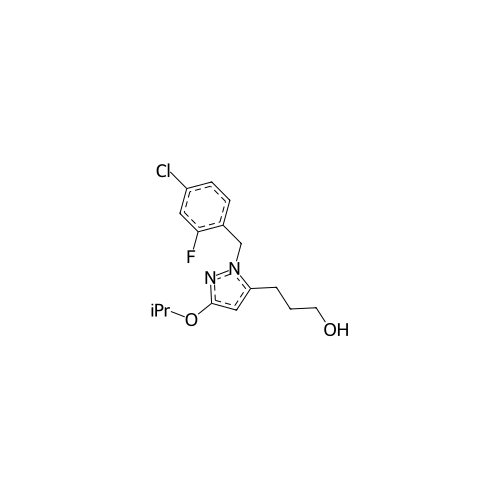 CC(C)Oc1cc(CCCO)n(Cc2ccc(Cl)cc2F)n1